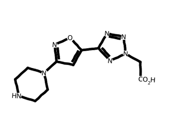 O=C(O)Cn1nnc(-c2cc(N3CCNCC3)no2)n1